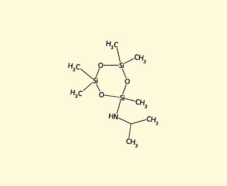 CC(C)N[Si]1(C)O[Si](C)(C)O[Si](C)(C)O1